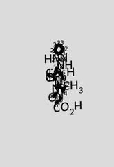 CC(=O)O.Cc1cn(CCC(=O)O)c(=O)nc1N1CCC(CNc2nc3ccccc3[nH]2)CC1